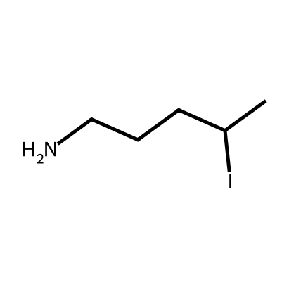 CC(I)CCCN